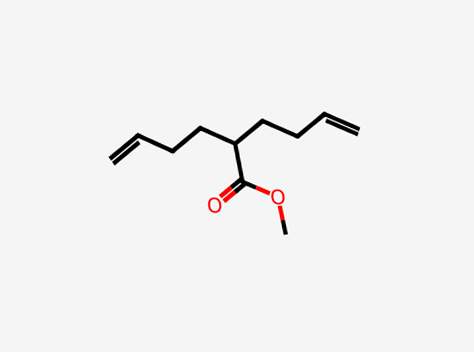 C=CCCC(CCC=C)C(=O)OC